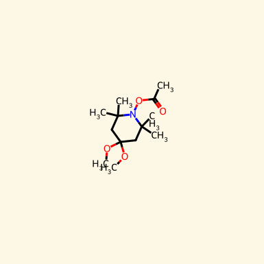 COC1(OC)CC(C)(C)N(OC(C)=O)C(C)(C)C1